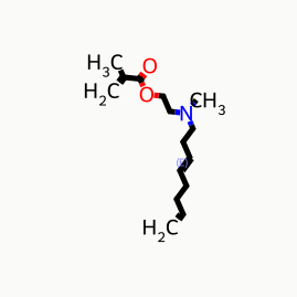 C=CCC/C=C/CCN(C)CCOC(=O)C(=C)C